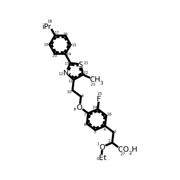 CCOC(Cc1ccc(OCCc2nc(-c3ccc(C(C)C)cc3)sc2C)c(F)c1)C(=O)O